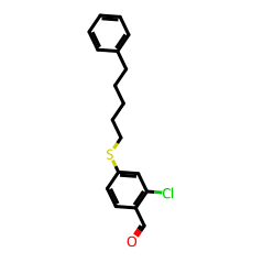 O=Cc1ccc(SCCCCCc2ccccc2)cc1Cl